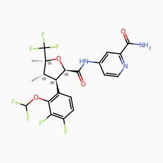 C[C@H]1[C@H](c2ccc(F)c(F)c2OC(F)F)[C@H](C(=O)Nc2ccnc(C(N)=O)c2)O[C@]1(C)C(F)(F)F